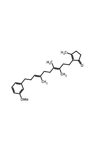 COc1cccc(CC/C=C(\C)CC/C(C)=C(\C)CCC2=C(C)CCC2=O)c1